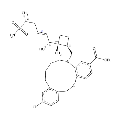 CC(C)COC(=O)c1ccc2c(c1)N(C[C@@H]1CC[C@@]1(C)[C@H](O)/C=C/C[C@@H](C)S(N)(=O)=O)CCCCc1cc(Cl)ccc1CO2